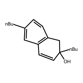 CCCCc1ccc2c(c1)C=CC(O)(CCCC)C2